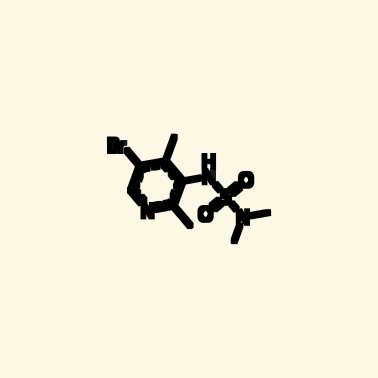 Cc1ncc(Br)c(C)c1NS(=O)(=O)N(C)C